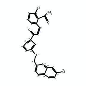 NC(=O)c1c(Cl)cccc1/C=C\C(=O)c1cccc(OCc2ccc3ccc(Cl)cc3n2)c1